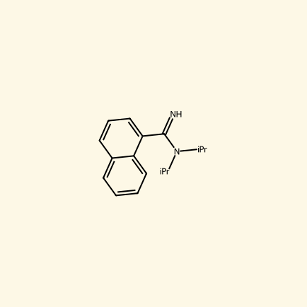 CC(C)N(C(=N)c1cccc2ccccc12)C(C)C